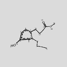 CCCc1cc(O)ccc1CCC(=O)OC